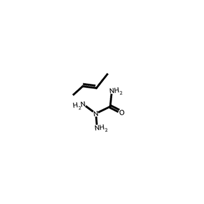 CC=CC.NC(=O)N(N)N